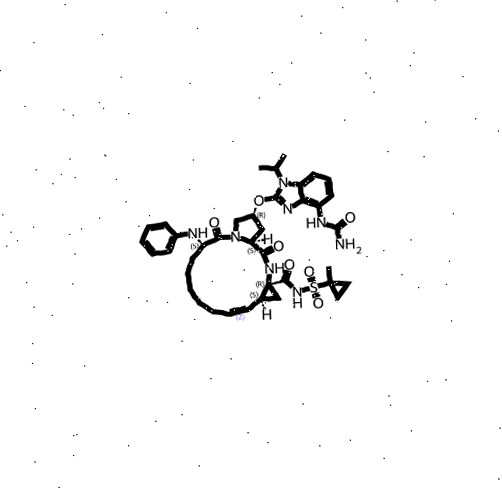 CC(C)n1c(O[C@@H]2C[C@H]3C(=O)N[C@]4(C(=O)NS(=O)(=O)C5(C)CC5)C[C@H]4/C=C\CCCCC[C@H](Nc4ccccc4)C(=O)N3C2)nc2c(NC(N)=O)cccc21